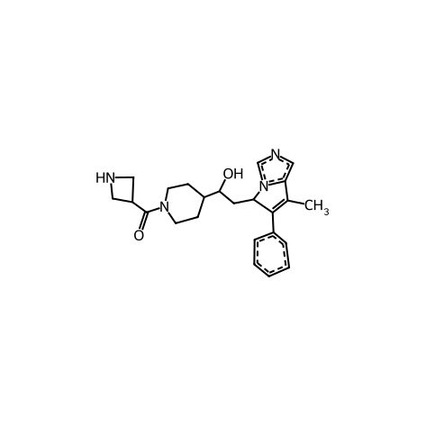 CC1=C(c2ccccc2)C(CC(O)C2CCN(C(=O)C3CNC3)CC2)n2cncc21